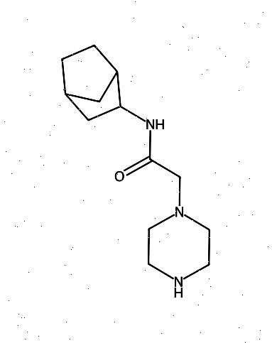 O=C(CN1CCNCC1)NC1CC2CCC1C2